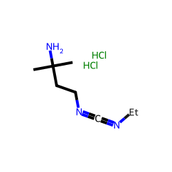 CCN=C=NCCC(C)(C)N.Cl.Cl